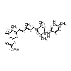 COC(=O)C[C@@H]1C[C@@]2(CO2)[C@H](C)[C@@H](/C=C/C(C)=C/C[C@@H]2O[C@H](C)[C@H](NC(=O)/C=C\[C@H](C)O)C[C@@H]2C)O1